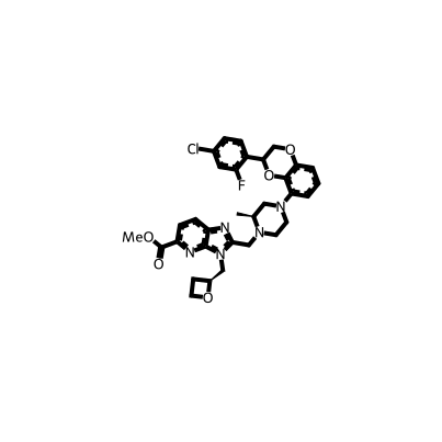 COC(=O)c1ccc2nc(CN3CCN(c4cccc5c4OC(c4ccc(Cl)cc4F)CO5)C[C@@H]3C)n(C[C@@H]3CCO3)c2n1